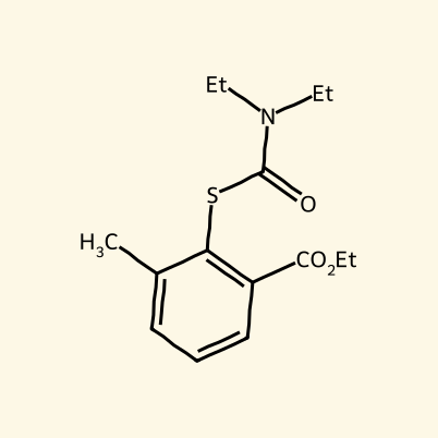 CCOC(=O)c1cccc(C)c1SC(=O)N(CC)CC